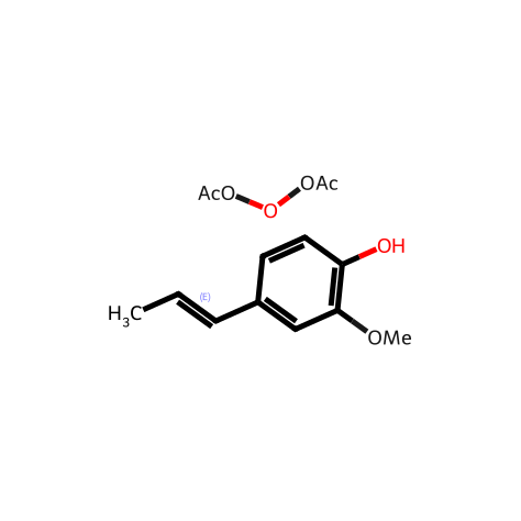 C/C=C/c1ccc(O)c(OC)c1.CC(=O)OOOC(C)=O